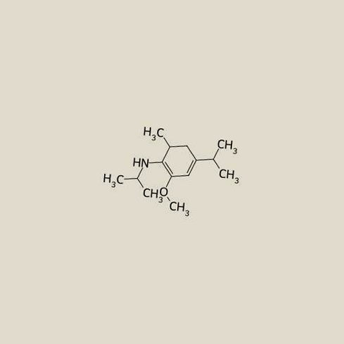 COC1=C(NC(C)C)C(C)CC(C(C)C)=C1